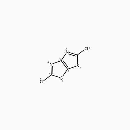 Clc1nc2nc(Cl)sc2s1